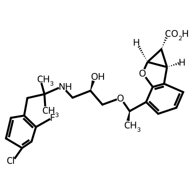 C[C@@H](OC[C@H](O)CNC(C)(C)Cc1ccc(Cl)cc1F)c1cccc2c1O[C@H]1[C@H](C(=O)O)[C@@H]21